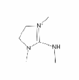 CNC1=[N+](C)CCN1C